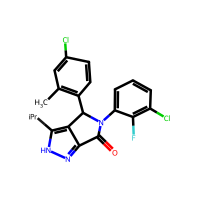 Cc1cc(Cl)ccc1C1c2c(n[nH]c2C(C)C)C(=O)N1c1cccc(Cl)c1F